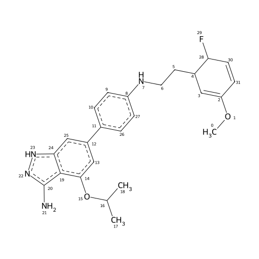 COC1=CC(CCNc2ccc(-c3cc(OC(C)C)c4c(N)n[nH]c4c3)cc2)C(F)C=C1